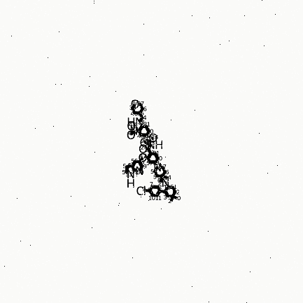 CC1(C)C=C(c2ccc(Cl)cc2)C(N2CC3(CCN(c4ccc(C(=O)NS(=O)(=O)c5ccc(NCC6CCOCC6)c([N+](=O)[O-])c5)c(Oc5cnc6[nH]ccc6c5)c4)CC3)C2)CC1